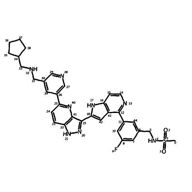 CS(=O)(=O)NCc1cc(F)cc(-c2nccc3[nH]c(-c4n[nH]c5ccc(-c6cncc(CNCC7CCCC7)c6)nc45)cc23)c1